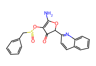 NC1=C(OS(=O)Cc2ccccc2)C(=O)C(c2ccc3ccccc3n2)O1